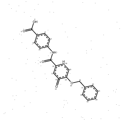 O=C(O)c1ccc(NC(=O)c2cc(=O)c(OCc3ccccc3)c[nH]2)cc1